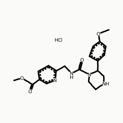 COC(=O)c1ccc(CNC(=O)N2CCNCC2c2ccc(OC)cc2)nc1.Cl